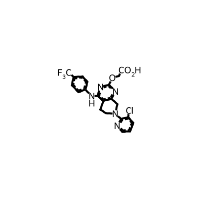 O=C(O)COc1nc2c(c(Nc3ccc(C(F)(F)F)cc3)n1)CCN(c1ncccc1Cl)C2